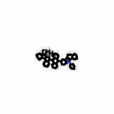 CC1(C)c2ccccc2C2=c3ccccc3=C(c3c4c(c(C5=Cc6c(n(-c7ccccc7)c7c6ccc6ccccc67)CC5)c5ccccc35)=CCCC=4)CC21